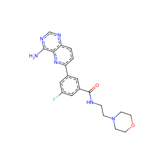 Nc1ncnc2ccc(-c3cc(F)cc(C(=O)NCCN4CCOCC4)c3)nc12